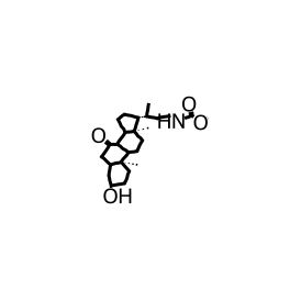 COC(=O)NCCC(C)[C@H]1CCC2C3C(=O)CC4C[C@H](O)CC[C@]4(C)C3CC[C@@]21C